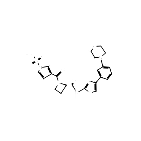 CS(=O)(=O)n1ccc(C(=O)N2CC[C@H]2C(=O)Nc2nc(-c3cccc(N4CCOCC4)c3)cs2)c1